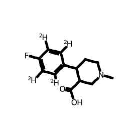 [2H]c1c([2H])c(C2CCN(C)CC2C(=O)O)c([2H])c([2H])c1F